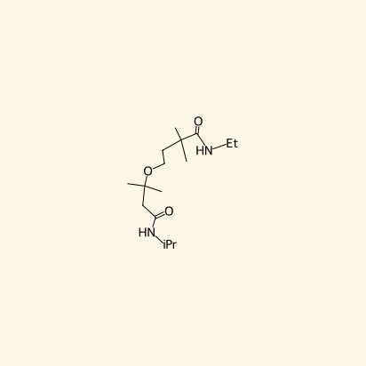 CCNC(=O)C(C)(C)CCOC(C)(C)CC(=O)NC(C)C